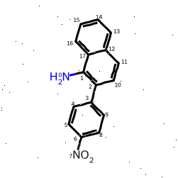 Nc1c(-c2ccc([N+](=O)[O-])cc2)ccc2ccccc12